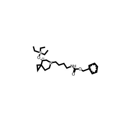 CC[Si](CC)(CC)O[C@@H]1CN(CCCCNC(=O)OCc2ccccc2)CCC12CC2